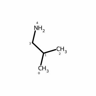 C[C](C)CN